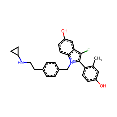 Cc1cc(O)ccc1-c1c(F)c2cc(O)ccc2n1Cc1ccc(CCNC2CC2)cc1